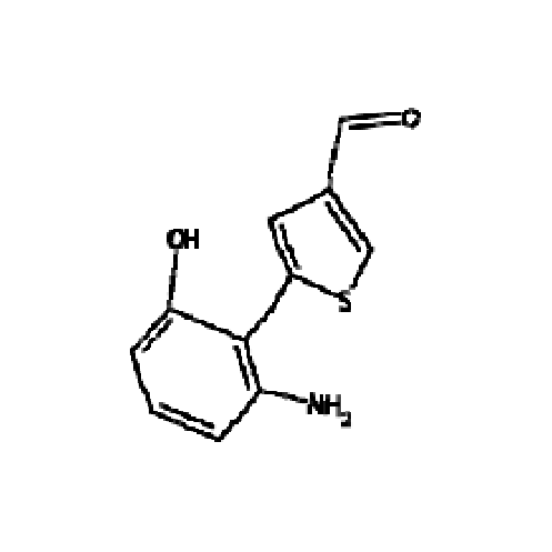 Nc1cccc(O)c1-c1cc(C=O)cs1